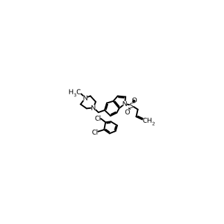 C=CCS(=O)(=O)n1ccc2cc(CN3CCN(C)CC3)ccc21.Clc1ccccc1Cl